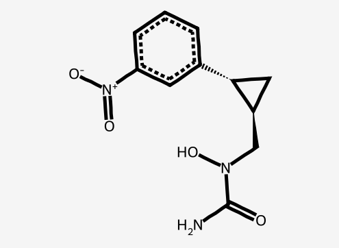 NC(=O)N(O)C[C@@H]1C[C@H]1c1cccc([N+](=O)[O-])c1